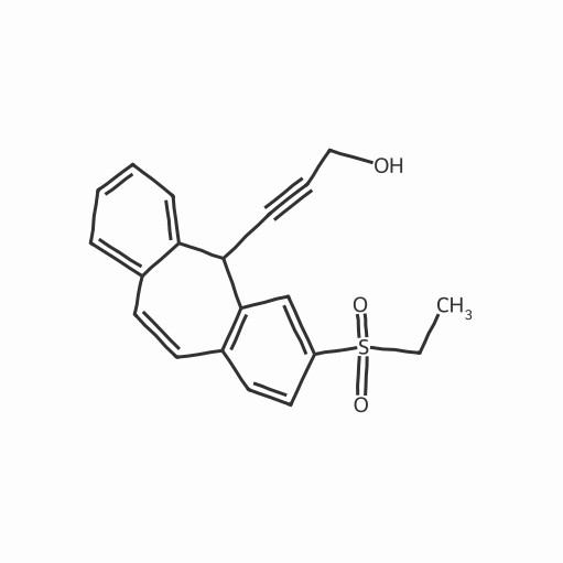 CCS(=O)(=O)c1ccc2c(c1)C(C#CCO)c1ccccc1C=C2